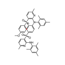 COc1ccc(S(=O)(=O)c2ccc(C)nc2N(c2ccc(S(=O)(=O)c3ccc(C)nc3Nc3c(C)cc(C)cc3C)cc2)c2c(C)cc(C)cc2C)cc1